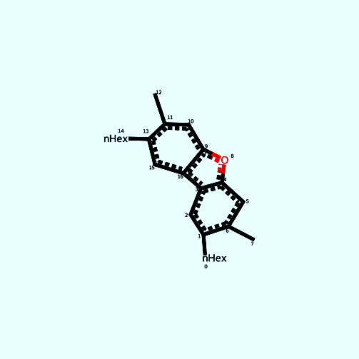 CCCCCCc1cc2c(cc1C)oc1cc(C)c(CCCCCC)cc12